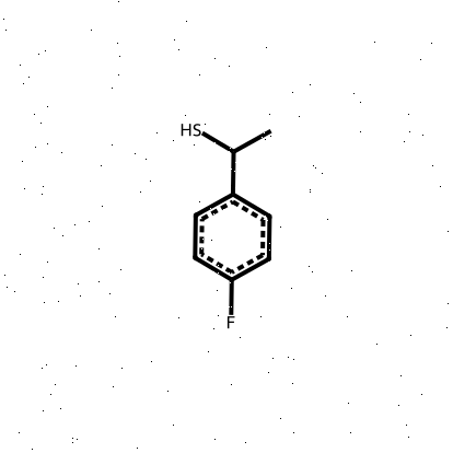 CC(S)c1ccc(F)cc1